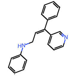 [c]1ccc(NCC=C(c2ccccc2)c2cccnc2)cc1